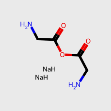 NCC(=O)OC(=O)CN.[NaH].[NaH]